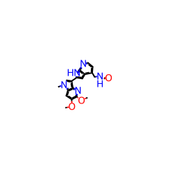 COc1cc2c(nc1OC)c(-c1cc3c(CNC=O)ccnc3[nH]1)cn2C